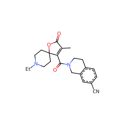 CCN1CCC2(CC1)OC(=O)C(C)=C2C(=O)N1CCc2ccc(C#N)cc2C1